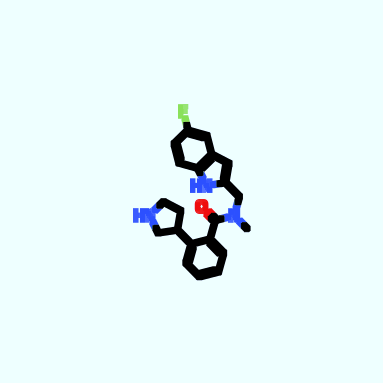 CN(Cc1cc2cc(F)ccc2[nH]1)C(=O)c1ccccc1C1CCNC1